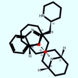 c1ccc2c(c1)nc(C[C@@H]1CCCCN1)n2[C@H]1C[C@H]2CCC[C@@H](C1)N2[C@@H]1C[C@@H]2CCCC[C@@H](C2)C1